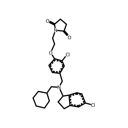 O=C1CCC(=O)N1CCOc1ccc(CN(CC2CCCCC2)C2CCc3cc(Cl)ccc32)cc1Cl